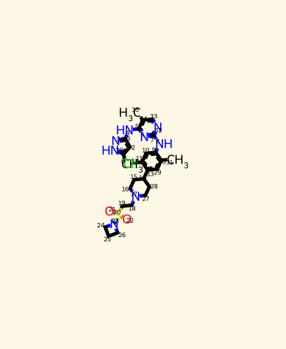 Cc1cc(Nc2nc(Nc3cc(Cl)c(C4CCN(CCS(=O)(=O)N5CCC5)CC4)cc3C)ncc2C)n[nH]1